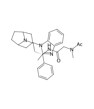 CC(=O)N(C)CC(=O)N[C@@H](CCN1C2CCC1CC(n1c(C)nc3ccccc31)C2)c1ccccc1